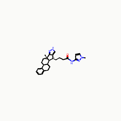 Cn1ccc(NC(=O)CCC[C@@H]2c3c[nH]nc3[C@@]3(C)CCC4c5ccccc5CCC4C23)n1